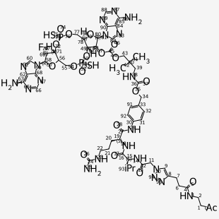 CC(=O)CCNC(=O)CCc1cn(CC(=O)N[C@H](C(=O)N[C@@H](CCCNC(N)=O)C(=O)Nc2ccc(COC(=O)NCC(C)(C)COC(=O)O[C@@H]3[C@@H]4O[P@](=O)(S)OCC5O[C@@H](n6cnc7c(N)ncnc76)[C@H](F)[C@@H]5O[P@](=O)(S)OC[C@H]4O[C@H]3n3cnc4c(N)ncnc43)cc2)C(C)C)nn1